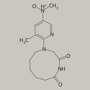 Cc1cc([NH+](C)[O-])cnc1N1CCCCCC(=O)NC(=O)C1